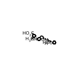 Cc1cc(C(=O)O)ccc1Nc1ccc2c(c1)CC[C@H](CNC[C@H](O)COc1ccccc1)O2